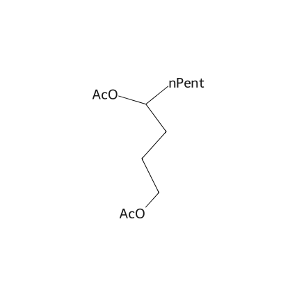 CCCCCC(CCCOC(C)=O)OC(C)=O